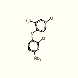 Nc1cc(Cl)ccc1Sc1ccc([N+](=O)[O-])cc1Cl